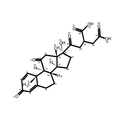 C[C@]12C=CC(=O)C=C1CC[C@@H]1[C@@H]2C(=O)C[C@@]2(C)[C@H]1CC[C@]2(O)C(=O)CC(CC(=O)O)C(=O)O